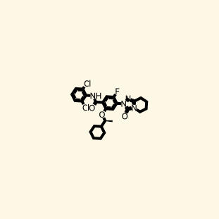 C[C@H](Oc1cc(-n2nc3n(c2=O)CCCC3)c(F)cc1C(=O)Nc1c(Cl)cccc1Cl)C1CCCCC1